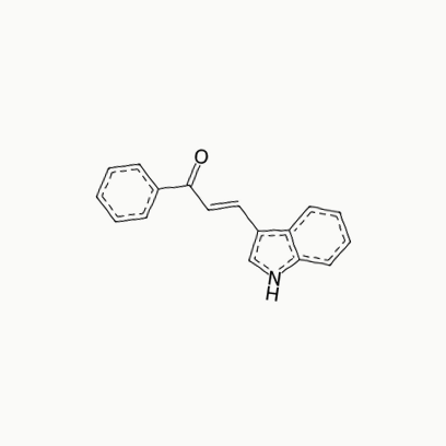 O=C(C=Cc1c[nH]c2ccccc12)c1ccccc1